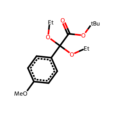 CCOC(OCC)(C(=O)OC(C)(C)C)c1ccc(OC)cc1